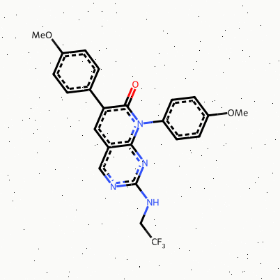 COc1ccc(-c2cc3cnc(NCC(F)(F)F)nc3n(-c3ccc(OC)cc3)c2=O)cc1